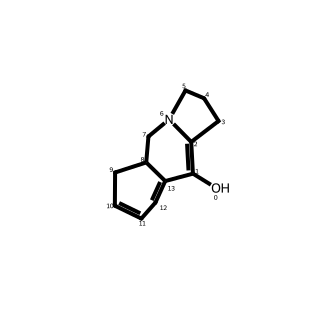 OC1=C2CCCN2CC2CC=CC=C12